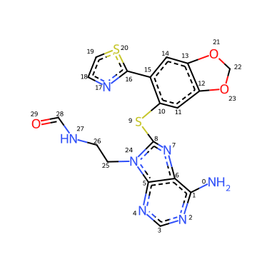 Nc1ncnc2c1nc(Sc1cc3c(cc1-c1nccs1)OCO3)n2CCNC=O